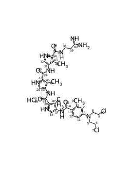 Cc1cc(N(CCCl)CCCl)ccc1C(=O)Nc1c[nH]c(C(=O)Nc2c[nH]c(C(=O)Nc3c[nH]c(C(=O)NCCC(=N)N)c3C)c2C)c1C.Cl